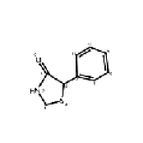 O=C1NCSC1c1ccccc1